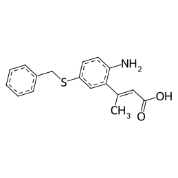 CC(=CC(=O)O)c1cc(SCc2ccccc2)ccc1N